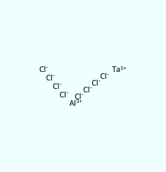 [Al+3].[Cl-].[Cl-].[Cl-].[Cl-].[Cl-].[Cl-].[Cl-].[Cl-].[Ta+5]